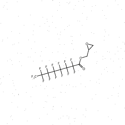 O=C(OCC1CO1)C(F)(F)C(F)(F)C(F)(F)C(F)(F)C(F)(F)C(F)(F)C(F)(F)F